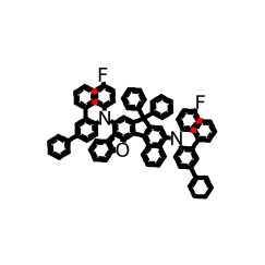 Fc1ccc(N(c2ccc(C3=CCCC=C3)cc2-c2ccccc2)c2cc3c(c4ccccc24)-c2c(cc(N(c4ccc(F)cc4)c4ccc(-c5ccccc5)cc4-c4ccccc4)c4c2oc2ccccc24)C3(c2ccccc2)c2ccccc2)cc1